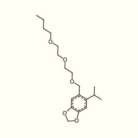 CCCCOCCOCCOCc1cc2c(cc1C(C)C)OCO2